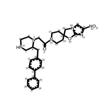 O=C(CN1CCNCC1Cc1ccc(-c2ccccc2)cc1)N1CCC2(CC1)Cn1cc([N+](=O)[O-])nc1O2